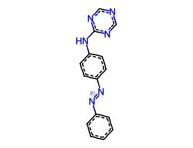 c1ccc(/N=N/c2ccc(Nc3ncncn3)cc2)cc1